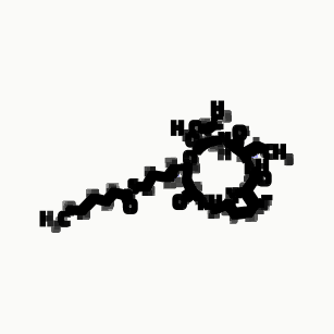 C/C=C1\NC(=O)c2nc(ccc2F)CNC(=O)C[C@@H](/C=C/CCSC(=O)CCCCCC)OC(=O)[C@H](C(C)C)NC1=O